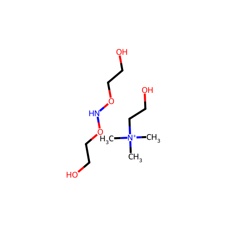 C[N+](C)(C)CCO.OCCONOCCO